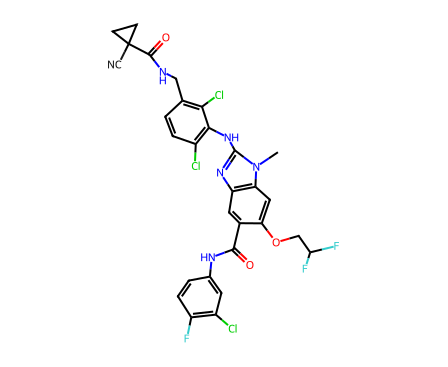 Cn1c(Nc2c(Cl)ccc(CNC(=O)C3(C#N)CC3)c2Cl)nc2cc(C(=O)Nc3ccc(F)c(Cl)c3)c(OCC(F)F)cc21